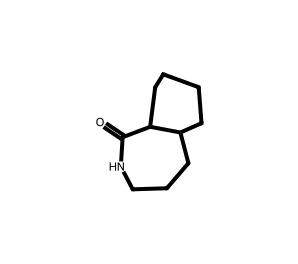 O=C1NCCCC2CCCCC12